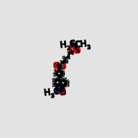 C=C(C)C(=O)OCCCCCCOC(=O)c1ccc(-c2ccc3c4c(cccc24)C(=O)N3C)cc1